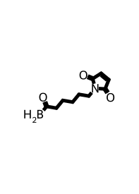 BC(=O)CCCCCN1C(=O)C=CC1=O